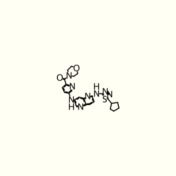 O=C(c1ccc(Nc2cnc3ccc(Nc4nnc(C5CCCC5)s4)nc3c2)cn1)N1CCOCC1